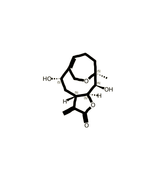 C=C1C(=O)O[C@H]2[C@H]1C[C@H](O)C1=CCC[C@](C)(OC1)[C@H]2O